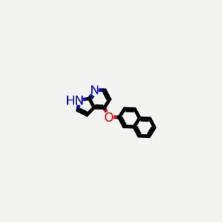 c1ccc2cc(Oc3ccnc4[nH]ccc34)ccc2c1